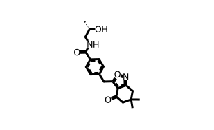 C[C@H](O)CNC(=O)c1ccc(Cc2onc3c2C(=O)CC(C)(C)C3)cc1